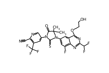 CC1(C)C(=O)N(c2cnc(C#N)c(C(F)(F)F)c2)C(=S)N1c1cc(F)c2nc(C(F)F)nc(OCCO)c2c1